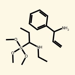 C=CC(N)c1ccccc1.CCNC(CC)[Si](OC)(OC)OC